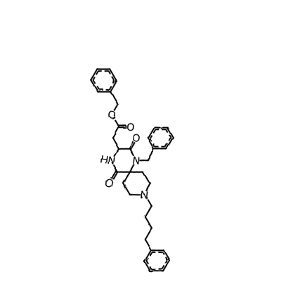 O=C(CC1NC(=O)C2(CCN(CCCCc3ccccc3)CC2)N(Cc2ccccc2)C1=O)OCc1ccccc1